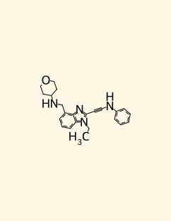 CCn1c(C#CNc2ccccc2)nc2c(CNC3CCOCC3)cccc21